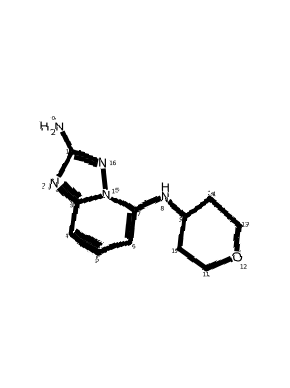 Nc1nc2cccc(NC3CCOCC3)n2n1